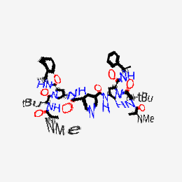 CN[C@@H](C)C(=O)N[C@H](C(=O)N1C[C@@H](NC(=O)c2cncc(C(=O)N[C@H]3C[C@@H](C(=O)N[C@H](C)c4ccccc4)N(C(=O)[C@@H](NC(=O)[C@H](C)NC)C(C)(C)C)C3)c2)C[C@H]1C(=O)N[C@H](C)c1ccccc1)C(C)(C)C